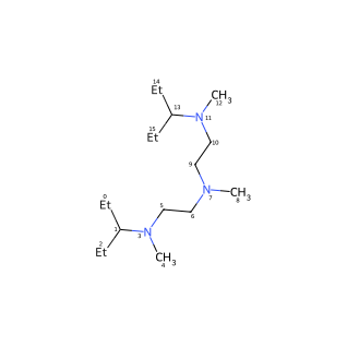 CCC(CC)N(C)CCN(C)CCN(C)C(CC)CC